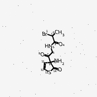 CC(Br)C(=O)NCC(=O)C1(N)C=CSC1=O